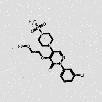 CCOCCOc1c(N2CCN(S(C)(=O)=O)CC2)cnn(-c2cccc(Cl)c2)c1=O